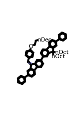 CCCCCCCCCCCCOc1ccc(/C=C2/c3cc(-c4ccccc4)ccc3-c3ccc(-c4ccc5c(c4)C(CCCCCCCC)(CCCCCCCC)c4cc(-c6ccccc6)ccc4-5)cc32)cc1